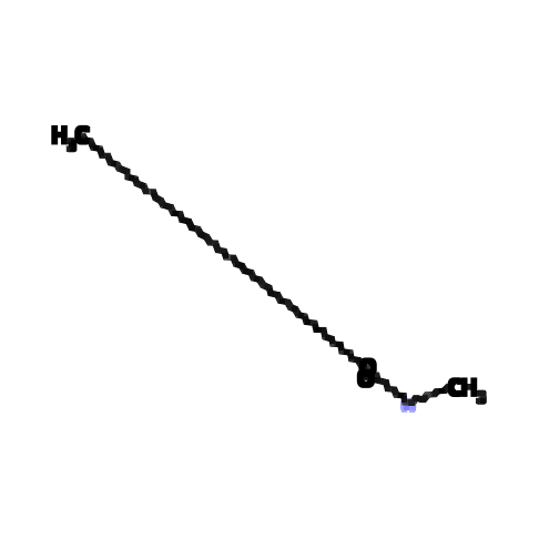 CCCCCCCC/C=C\CCCCCCCC(=O)OCCCCCCCCCCCCCCCCCCCCCCCCCCCCCCCCCCCCCCCCCCCCCCCCCCCCCCCCCCCCCCCC